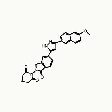 COc1ccc2cc(-c3cc(-c4ccc5c(c4)CN(N4C(=O)CCCC4=O)C5=O)[nH]n3)ccc2c1